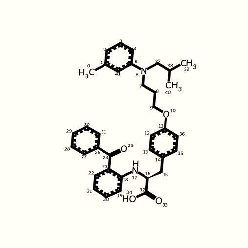 Cc1cccc(N(CCCOc2ccc(C[C@H](Nc3ccccc3C(=O)c3ccccc3)C(=O)O)cc2)CC(C)C)c1